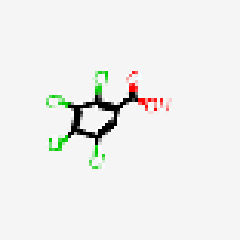 O=C(O)c1cc(Cl)c(Cl)c(Cl)c1Cl